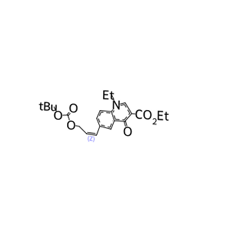 CCOC(=O)c1cn(CC)c2ccc(/C=C\COC(=O)OC(C)(C)C)cc2c1=O